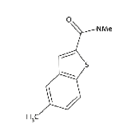 CNC(=O)c1cc2cc(C)ccc2s1